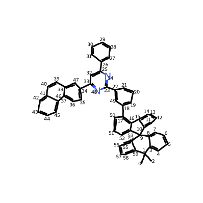 CC1(C)c2ccccc2C2(c3ccccc3-c3c(-c4cccc(-c5nc(-c6ccccc6)cc(-c6ccc7c(ccc8ccccc87)c6)n5)c4)cccc32)c2ccccc21